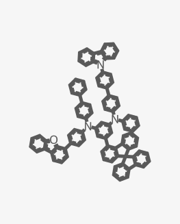 c1ccc(-c2ccc(N(c3ccc(-c4cccc5c4oc4ccccc45)cc3)c3cc(-c4cccc5c4-c4ccccc4C54c5ccccc5-c5ccccc54)cc(N(c4ccccc4)c4ccc(-c5ccc(-n6c7ccccc7c7ccccc76)cc5)cc4)c3)cc2)cc1